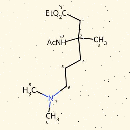 CCOC(=O)CC(C)(CCCN(C)C)NC(C)=O